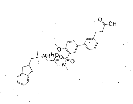 COc1ccc(-c2cccc(CCC(=O)O)c2)cc1S(=O)(=O)N(C)C[C@H](O)CNC(C)(C)CC1Cc2ccccc2C1